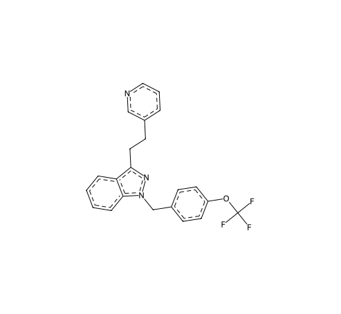 FC(F)(F)Oc1ccc(Cn2nc(CCc3cccnc3)c3ccccc32)cc1